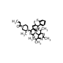 C=CC(=O)N1CCN(c2nc(=O)n(-c3c(C(C)C)nc(C)nc3C(C)C)c3nc(-c4ccccc4F)c(F)cc23)[C@@H](C)C1